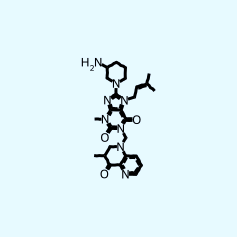 CC(C)=CCn1c(N2CCCC(N)C2)nc2c1c(=O)n(CN1CC(C)C(=O)c3ncccc31)c(=O)n2C